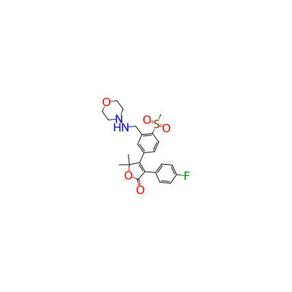 CC1(C)OC(=O)C(c2ccc(F)cc2)=C1c1ccc(S(C)(=O)=O)c(CNN2CCOCC2)c1